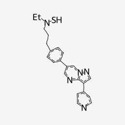 CCN(S)CCCc1ccc(-c2cnc3c(-c4ccncc4)cnn3c2)cc1